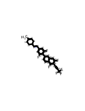 CC1=CCC(/C=C/c2cc(F)c(-c3ccc4c(F)c(C#CC(F)(F)F)c(F)cc4c3)c(F)c2)CC1